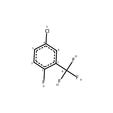 Fc1ccc(Cl)cc1C(F)(F)F